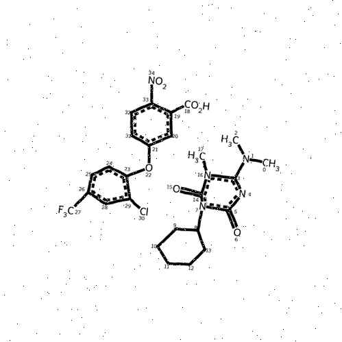 CN(C)c1nc(=O)n(C2CCCCC2)c(=O)n1C.O=C(O)c1cc(Oc2ccc(C(F)(F)F)cc2Cl)ccc1[N+](=O)[O-]